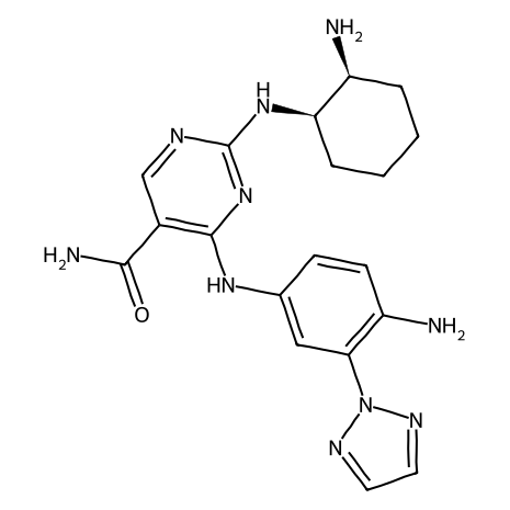 NC(=O)c1cnc(N[C@@H]2CCCC[C@@H]2N)nc1Nc1ccc(N)c(-n2nccn2)c1